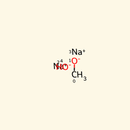 C[O-].[Na+].[Na+].[OH-]